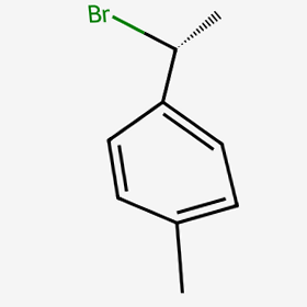 Cc1ccc([C@@H](C)Br)cc1